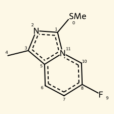 CSc1nc(C)c2ccc(F)cn12